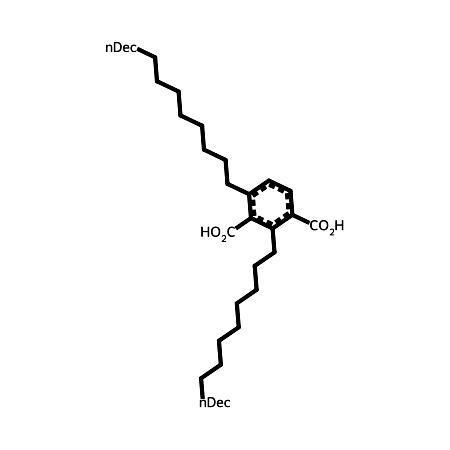 CCCCCCCCCCCCCCCCCCc1ccc(C(=O)O)c(CCCCCCCCCCCCCCCCCC)c1C(=O)O